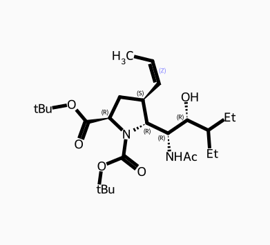 C/C=C\[C@@H]1C[C@H](C(=O)OC(C)(C)C)N(C(=O)OC(C)(C)C)[C@H]1[C@@H](NC(C)=O)[C@H](O)C(CC)CC